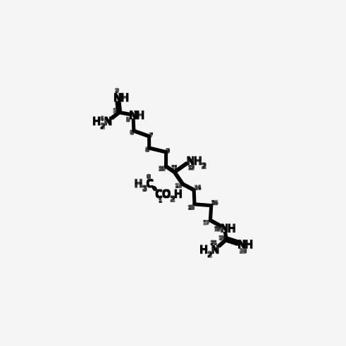 CC(=O)O.N=C(N)NCCCCCC(N)CCCCCNC(=N)N